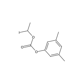 Cc1cc(C)cc(OC(=O)OC(C)I)c1